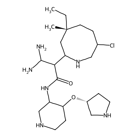 CC[C@]1(C)CCC(Cl)CNC(C(C(=O)NC2CNCCC2O[C@@H]2CCNC2)C(N)N)C1